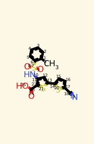 Cc1ccccc1S(=O)(=O)Nc1cc(-c2ccc(C#N)s2)sc1C(=O)O